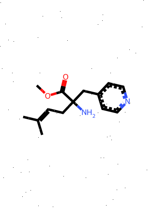 COC(=O)C(N)(CC=C(C)C)Cc1ccncc1